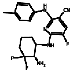 Cc1ccc(Nc2nc(N[C@@H]3CCCC(F)(F)[C@@H]3N)c(F)cc2C#N)cc1